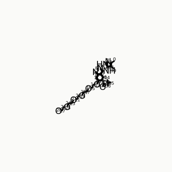 Cc1n[nH]c(Nc2ncnc3cc(OCCOCCOCCOCCOCC=O)c([S+]([O-])C(C)(C)C)cc23)c1C